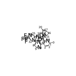 Cc1ccc(-c2ncccn2)c(C(=O)N2C3CC(C3)C(C)C2CNc2cnc(C(F)(F)F)cn2)n1